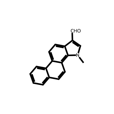 Cn1cc(C=O)c2ccc3c4ccccc4ccc3c21